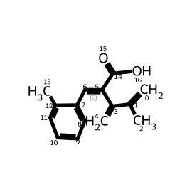 C=C(C)C(=C)/C(=C\c1ccccc1C)C(=O)O